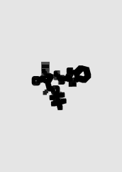 C[C@@H](O[Si](C)(C)C(C)(C)C)[C@H]1C(=O)N[C@@H]1SSc1nc2ccccc2s1